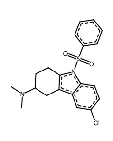 CN(C)C1CCc2c(c3cc(Cl)ccc3n2S(=O)(=O)c2ccccc2)C1